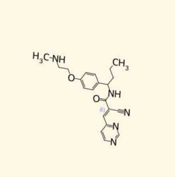 CCCC(NC(=O)/C(C#N)=C/c1ccncn1)c1ccc(OCCNC)cc1